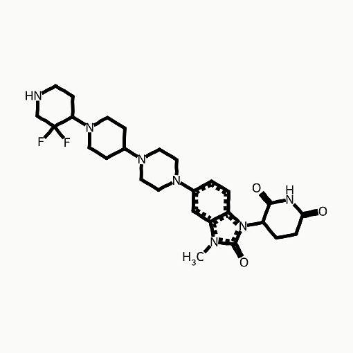 Cn1c(=O)n(C2CCC(=O)NC2=O)c2ccc(N3CCN(C4CCN(C5CCNCC5(F)F)CC4)CC3)cc21